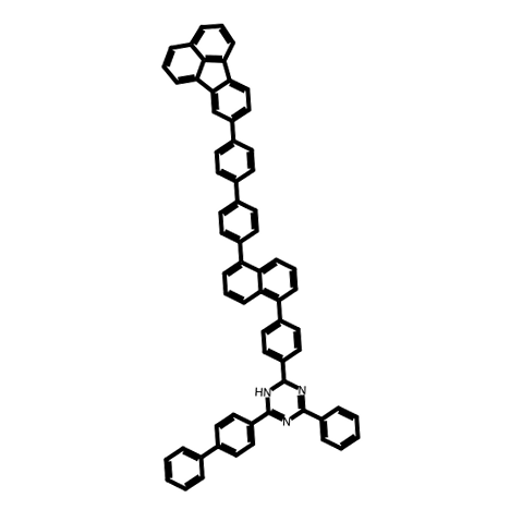 c1ccc(C2=NC(c3ccc(-c4cccc5c(-c6ccc(-c7ccc(-c8ccc9c(c8)-c8cccc%10cccc-9c8%10)cc7)cc6)cccc45)cc3)NC(c3ccc(-c4ccccc4)cc3)=N2)cc1